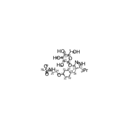 CC(C)c1[nH]nc(O[C@@H]2O[C@H](CO)[C@@H](O)[C@H](O)[C@H]2O)c1Cc1ccc(OCCNS(C)(=O)=O)cc1